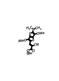 COc1c(/C=C(\C#N)C(=O)OC(C)(C)C)sc2c(OC)c(N(C)C)sc12